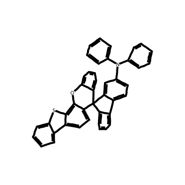 c1ccc(N(c2ccccc2)c2ccc3c(c2)C2(c4ccccc4Oc4c2ccc2c4sc4ccccc42)c2ccccc2-3)cc1